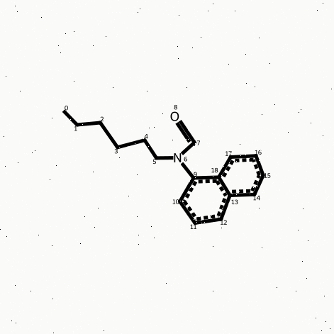 CCCCCCN([C]=O)c1cccc2ccccc12